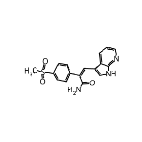 CS(=O)(=O)c1ccc(C(=Cc2c[nH]c3ncccc23)C(N)=O)cc1